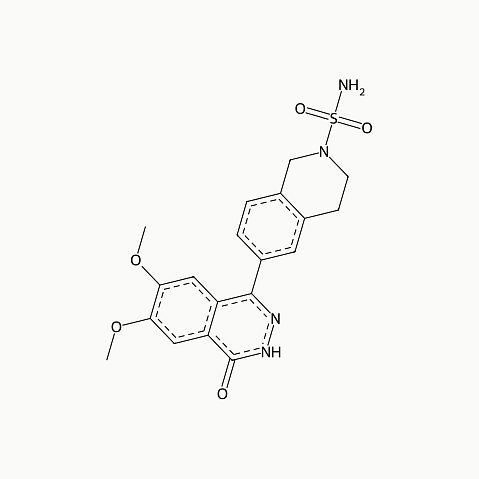 COc1cc2c(-c3ccc4c(c3)CCN(S(N)(=O)=O)C4)n[nH]c(=O)c2cc1OC